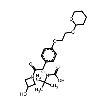 CC(C)(C)N(C(=O)O)[C@H](C(=O)N1CC(O)C1)c1ccc(OCCOC2CCCCO2)cc1